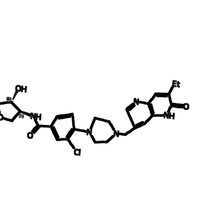 CCc1cc2ncc(CN3CCN(c4ccc(C(=O)N[C@H]5COC[C@@H]5O)cc4Cl)CC3)cc2[nH]c1=O